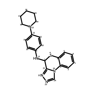 c1ccc2c(c1)SC(Nc1ccc(N3CCCCC3)cc1)c1nncn1-2